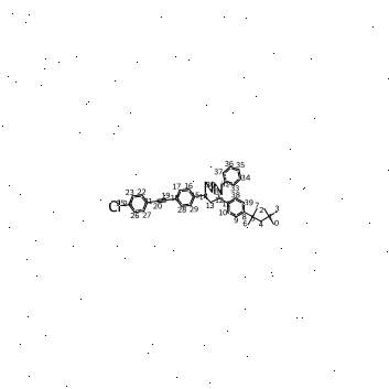 CC(C)(C)CC(C)(C)c1ccc(C2CC(c3ccc(C#Cc4ccc(Cl)cc4)cc3)=NN2c2ccccc2)cc1